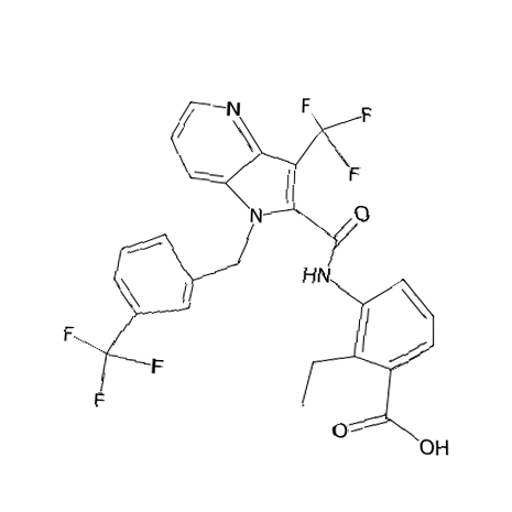 CCc1c(NC(=O)c2c(C(F)(F)F)c3ncccc3n2Cc2cccc(C(F)(F)F)c2)cccc1C(=O)O